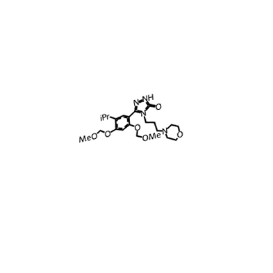 COCOc1cc(OCOC)c(C(C)C)cc1-c1n[nH]c(=O)n1CCCN1CCOCC1